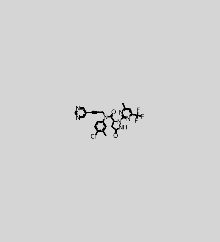 Cc1cc(C(F)(F)F)nc(N2NC(=O)CC2C(=O)N(CC#Cc2cncnc2)c2ccc(Cl)c(C)c2)n1